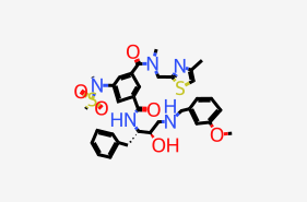 COc1cccc(CNC[C@@H](O)[C@H](Cc2ccccc2)NC(=O)c2cc(C(=O)N(C)Cc3nc(C)cs3)cc(N(C)S(C)(=O)=O)c2)c1